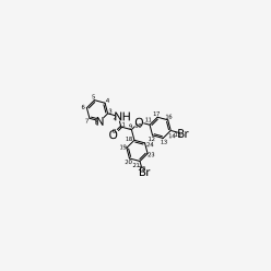 O=C(Nc1ccccn1)C(Oc1ccc(Br)cc1)c1ccc(Br)cc1